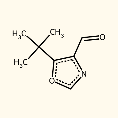 CC(C)(C)c1ocnc1C=O